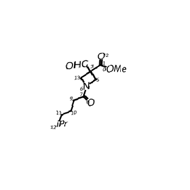 COC(=O)C1(C=O)CN(C(=O)CCCC(C)C)C1